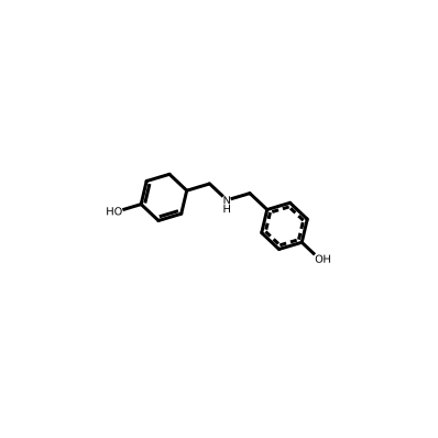 OC1=CCC(CNCc2ccc(O)cc2)C=C1